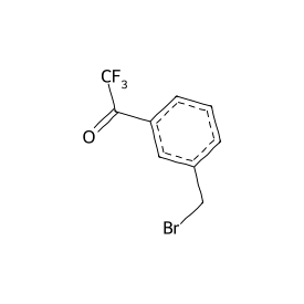 O=C(c1cccc(CBr)c1)C(F)(F)F